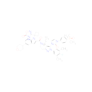 Cc1cc(-n2nc3c(c2-n2ccn(-c4ccc(P(C)(C)=O)cc4)c2=O)[C@H](C)N(C(=O)c2cc4cc(C5CCOCC5)ccc4n2C2(c4noc(=O)[nH]4)CCC2)CC3)cc(C)c1F